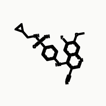 COc1cc2ncc(C#N)c(Nc3ccc(S(=N)(=O)NCC4CC4)cc3)c2cc1F